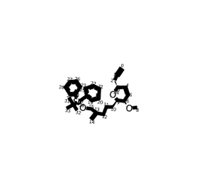 C#CC[C@@H]1C=C[C@H](OC)[C@@H](CCCC(=C)CO[Si](c2ccccc2)(c2ccccc2)C(C)(C)C)O1